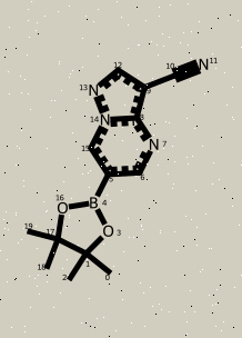 CC1(C)OB(c2cnc3c(C#N)cnn3c2)OC1(C)C